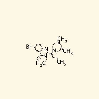 CCC[C@@H](c1nc2ccc(Br)cc2c(=O)n1CC)N1CCN(C)C[C@@H](C)C1